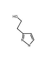 OCCC1=N[N]C=C1